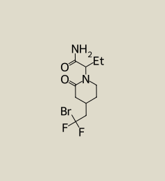 CCC(C(N)=O)N1CCC(CC(F)(F)Br)CC1=O